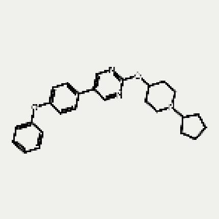 c1ccc(Oc2ccc(-c3cnc(OC4CCN(C5CCCC5)CC4)nc3)cc2)cc1